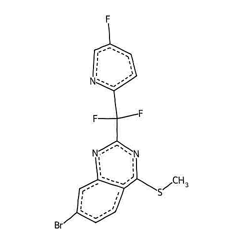 CSc1nc(C(F)(F)c2ccc(F)cn2)nc2cc(Br)ccc12